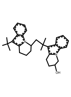 CC(C)(C)c1c2n(c3ccccc13)C(CC(C)(C)c1c3n(c4ccccc14)CC(O)CC3)CCC2